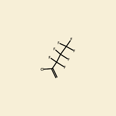 C=C(Cl)C(F)(F)C(F)(F)C(F)(F)F